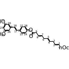 CCCCCCCCC=CCC=CCC=CCC(=O)Oc1ccc(C=Cc2cc(O)cc(O)c2)cc1